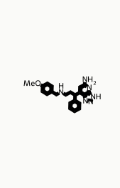 COc1ccc(CNCCC(c2ccccc2)c2cc(N)nc3[nH]nnc23)cc1